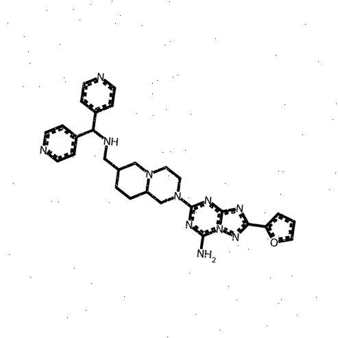 Nc1nc(N2CCN3CC(CNC(c4ccncc4)c4ccncc4)CCC3C2)nc2nc(-c3ccco3)nn12